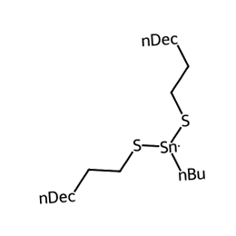 CCCCCCCCCCCC[S][Sn]([CH2]CCC)[S]CCCCCCCCCCCC